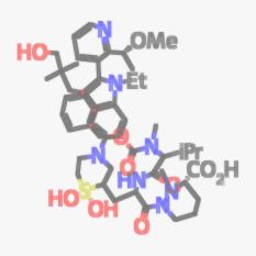 CCn1c(-c2cccnc2[C@H](C)OC)c(CC(C)(C)CO)c2cc(N3CCS(O)(O)C(CC(NC(=O)C(C(C)C)N(C)C(=O)OCc4ccccc4)C(=O)N4CCC[C@@H](C(=O)O)N4C)C3)ccc21